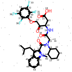 CC(C)Cc1c(C(=O)N(C2CCCCC2)[C@@H](C)C(=O)NC(CC(=O)O)C(=O)COc2c(F)c(F)cc(F)c2F)n(C)c2ccccc12